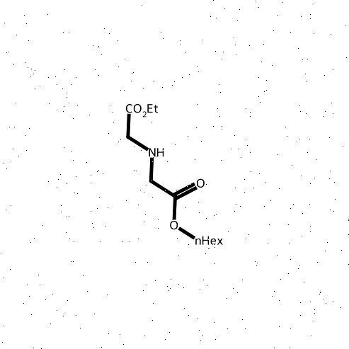 CCCCCCOC(=O)CNCC(=O)OCC